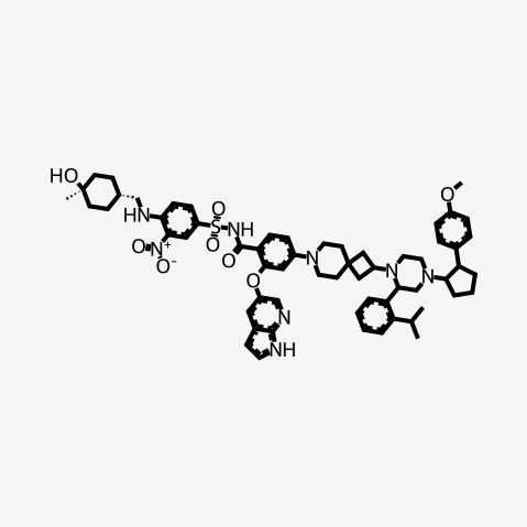 COc1ccc(C2CCCC2N2CCN(C3CC4(CCN(c5ccc(C(=O)NS(=O)(=O)c6ccc(NC[C@H]7CC[C@](C)(O)CC7)c([N+](=O)[O-])c6)c(Oc6cnc7[nH]ccc7c6)c5)CC4)C3)C(c3ccccc3C(C)C)C2)cc1